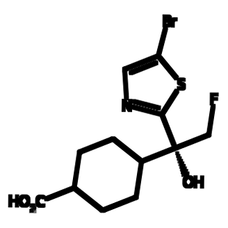 O=C(O)C1CCC([C@](O)(CF)c2ncc(Br)s2)CC1